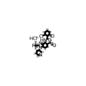 Cl.O=C=Cc1ccc2c(nc(C(F)(F)F)n2-c2cccnc2)c1NC(=O)c1c(Cl)cccc1Cl